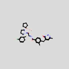 Cc1cc(Cc2ccc(C(=O)NCC(=O)N3[C@H](C4(C)C=C(F)C=CC4)CC[C@@H]3C3(O)CCCC3)cc2C)c(=O)[nH]n1